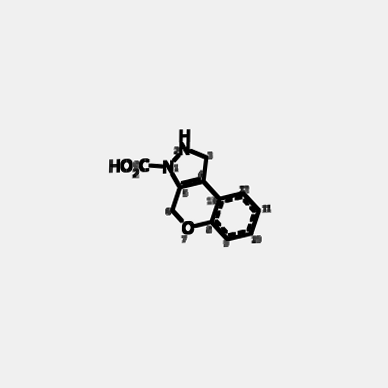 O=C(O)N1NCC2=C1COc1ccccc12